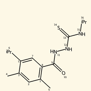 Cc1cc(C)c(C(C)C)cc1C(=O)NNC(=S)NC(C)C